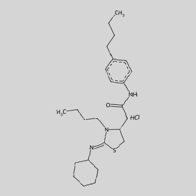 CCCCc1ccc(NC(=O)CC2CS/C(=N\C3CCCCC3)N2CCCC)cc1.Cl